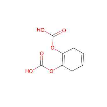 O=C(O)OC1=C(OC(=O)O)CC=CC1